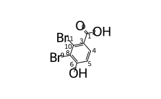 O=C(O)c1ccc(O)c(Br)c1Br